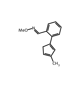 CON=Cc1ccccc1C1=CC(C)=CC1